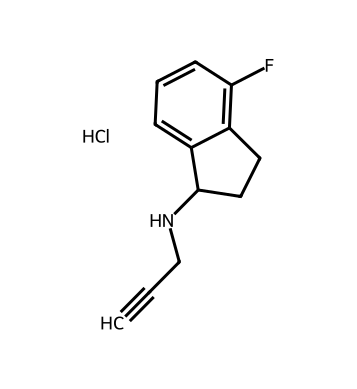 C#CCNC1CCc2c(F)cccc21.Cl